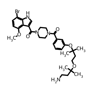 COc1ccc(Br)c2[nH]cc(C(=O)N3CCN(C(=O)c4cccc(OC(C)(C)CCOC(C)(C)CCN)c4)CC3)c12